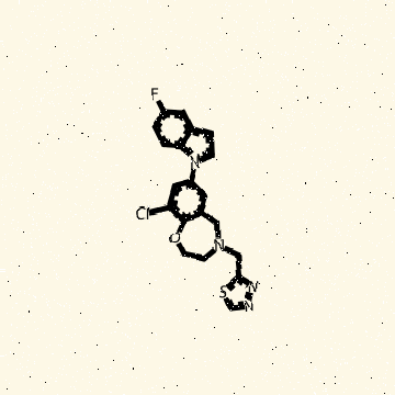 Fc1ccc2c(ccn2-c2cc(Cl)c3c(c2)CN(Cc2nncs2)CCO3)c1